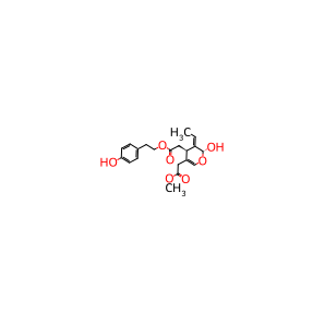 C/C=C1/[C@H](O)OC=C(CC(=O)OC)[C@H]1CC(=O)OCCc1ccc(O)cc1